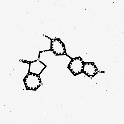 O=C1c2cccnc2CN1Cc1cc(-c2ccc3nn(I)cc3c2)ccc1F